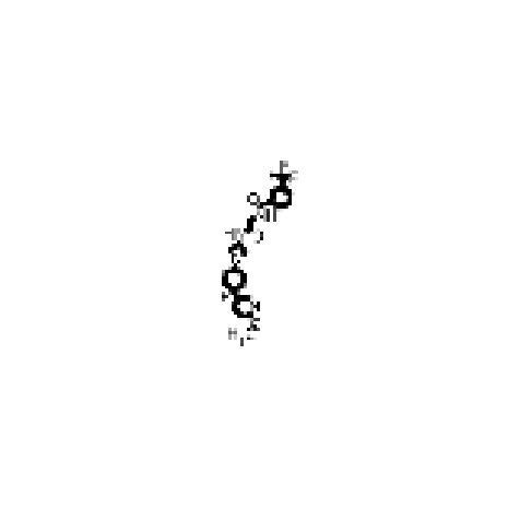 COc1ccc([C@]2(F)CC[C@H](N3CC(NC(=O)CNC(=O)c4cccc(C(F)(F)F)c4)C3)CC2)cn1